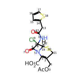 CC(=O)OCC1=C(C(=O)O)N2C(=O)[C@](Cl)(NC(=O)Cc3cccs3)[C@H]2SC1